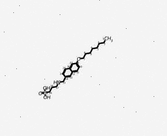 CCCCCCCCOc1ccc2cc(CNCCCP(=O)(O)O)ccc2c1